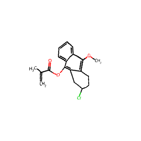 C=C(C)C(=O)Oc1c2c(c(OC)c3ccccc13)CCC(Cl)C2